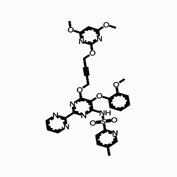 COc1cc(OC)nc(OCC#CCOc2nc(-c3ncccn3)nc(NS(=O)(=O)c3ccc(C)cn3)c2Oc2ccccc2OC)n1